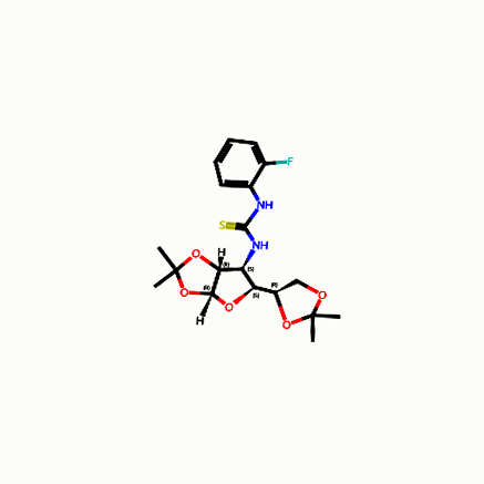 CC1(C)O[C@H]2O[C@H]([C@H]3COC(C)(C)O3)[C@H](NC(=S)Nc3ccccc3F)[C@H]2O1